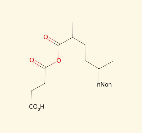 CCCCCCCCCC(C)CCC(C)C(=O)OC(=O)CCC(=O)O